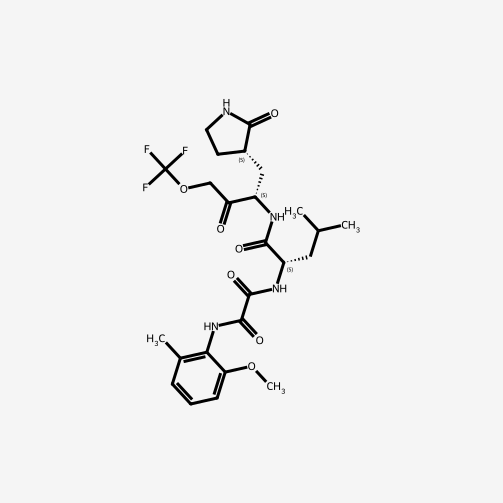 COc1cccc(C)c1NC(=O)C(=O)N[C@@H](CC(C)C)C(=O)N[C@@H](C[C@@H]1CCNC1=O)C(=O)COC(F)(F)F